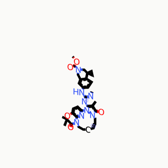 C=N/C(=N\c1c(C)c(=O)n2n1-c1ccc3c(n1)N(CCC/C=C\C2)C(=O)C(C)(C)O3)Nc1ccc2c(c1)CN(C(=O)OC)CC21CC1